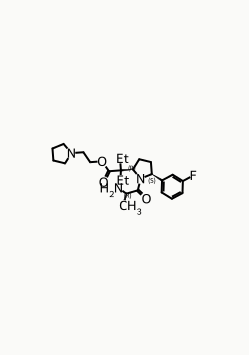 CCC(CC)(C(=O)OCCN1CCCC1)[C@H]1CC[C@@H](c2cccc(F)c2)N1C(=O)[C@@H](C)N